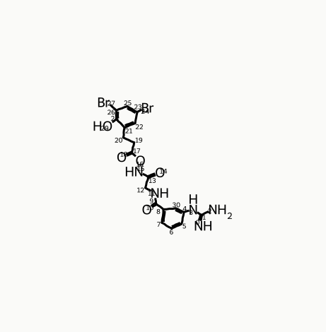 N=C(N)Nc1cccc(C(=O)NCC(=O)NOC(=O)CCc2cc(Br)cc(Br)c2O)c1